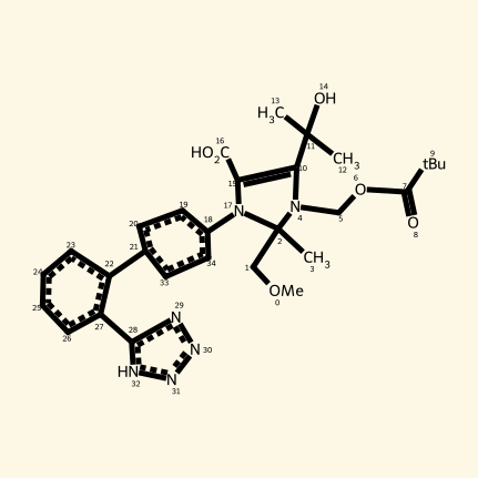 COCC1(C)N(COC(=O)C(C)(C)C)C(C(C)(C)O)=C(C(=O)O)N1c1ccc(-c2ccccc2-c2nnn[nH]2)cc1